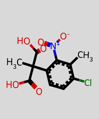 Cc1c(Cl)ccc(C(C)(C(=O)O)C(=O)O)c1[N+](=O)[O-]